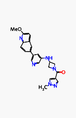 COc1ccc2cc(-c3cncc(NC4CN(C(=O)c5cnn(C)c5)C4)c3)ccc2n1